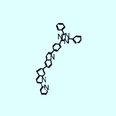 c1ccc(-c2nc(-c3ccccc3)nc(-c3ccc(-c4ccc5cc(-c6ccc7ccc(-c8ccccn8)nc7c6)ccc5n4)cc3)n2)cc1